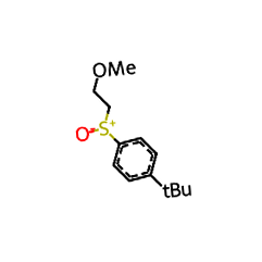 COCC[S+]([O-])c1ccc(C(C)(C)C)cc1